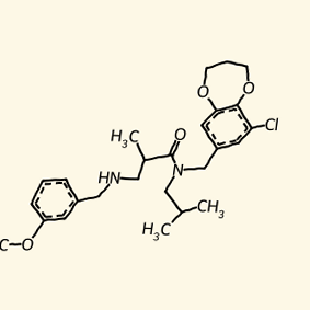 COc1cccc(CNCC(C)C(=O)N(Cc2cc(Cl)c3c(c2)OCCCO3)CC(C)C)c1